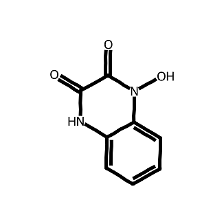 O=c1[nH]c2ccccc2n(O)c1=O